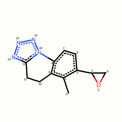 Cc1c(C2CO2)ccc2c1CCc1nnnn1-2